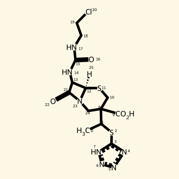 CC(Sc1nnn[nH]1)C1(C(=O)O)CS[C@@H]2C(NC(=O)NCCCl)C(=O)N2C1